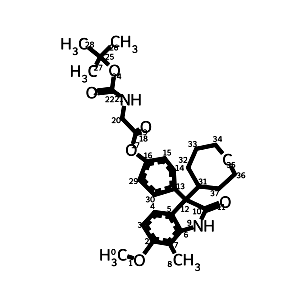 COc1ccc2c(c1C)NC(=O)C2(c1ccc(OC(=O)CNC(=O)OC(C)(C)C)cc1)C1CCCCCC1